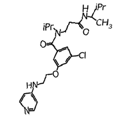 CC(C)C(C)NC(=O)CCN(C(=O)c1cc(Cl)cc(OCCNc2ccncc2)c1)C(C)C